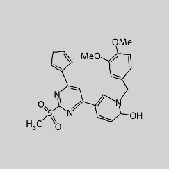 COc1ccc(CN2C=C(c3cc(C4=CCC=C4)nc(S(C)(=O)=O)n3)C=CC2O)cc1OC